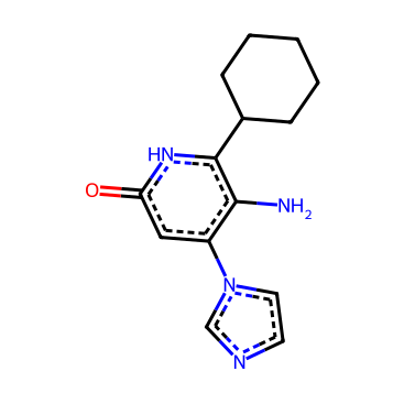 Nc1c(-n2ccnc2)cc(=O)[nH]c1C1CCCCC1